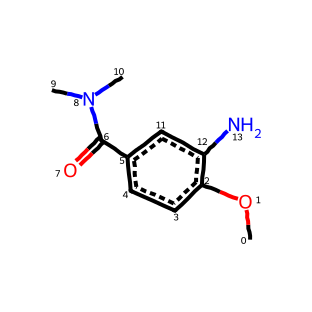 COc1ccc(C(=O)N(C)C)cc1N